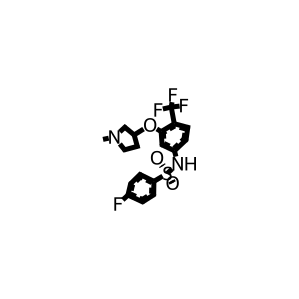 CN1CCC(Oc2cc(NS(=O)(=O)c3ccc(F)cc3)ccc2C(F)(F)F)C1